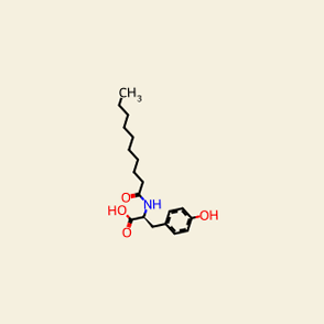 CCCCCCCCCC(=O)N[C@@H](Cc1ccc(O)cc1)C(=O)O